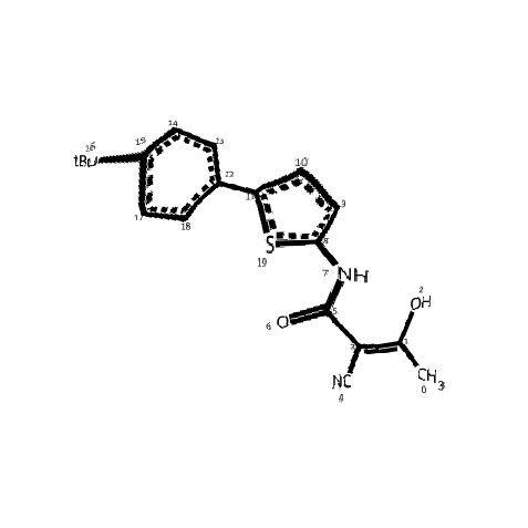 CC(O)=C(C#N)C(=O)Nc1ccc(-c2ccc(C(C)(C)C)cc2)s1